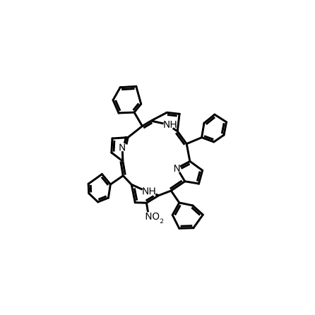 O=[N+]([O-])c1cc2[nH]c1c(-c1ccccc1)c1nc(c(-c3ccccc3)c3ccc([nH]3)c(-c3ccccc3)c3nc(c2-c2ccccc2)C=C3)C=C1